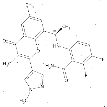 Cc1cc([C@@H](C)Nc2ccc(F)c(F)c2C(N)=O)c2oc(-c3cnn(C)c3)c(C)c(=O)c2c1